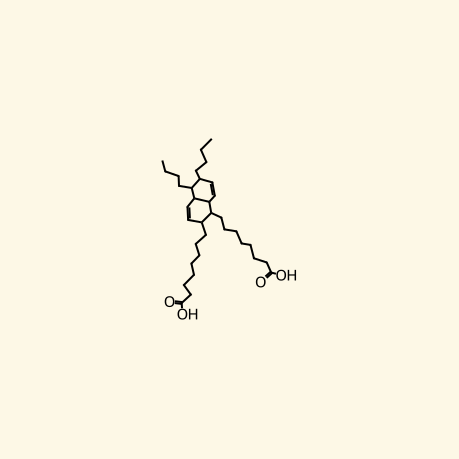 CCCCC1C=CC2C(C=CC(CCCCCCCC(=O)O)C2CCCCCCCC(=O)O)C1CCCC